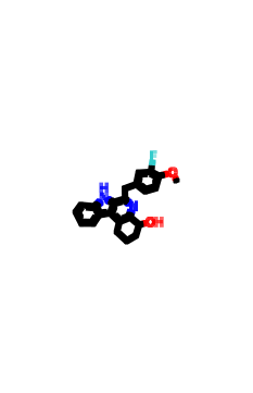 COc1ccc(Cc2nc3c(c4c2[nH]c2ccccc24)CCCC3O)cc1F